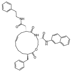 O=C(C[C@H]1C/C=C\CCC[C@H](Cc2ccccc2)C(=O)OC[C@@H](C(=O)Nc2ccc3ccccc3c2)NC1=O)NCCc1ccccc1